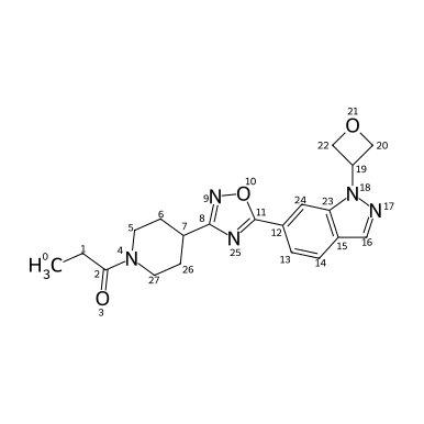 CCC(=O)N1CCC(c2noc(-c3ccc4cnn(C5COC5)c4c3)n2)CC1